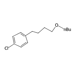 [CH2]CCCOCCCCc1ccc(Cl)cc1